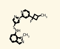 CC1CC(F)(c2ccnc(-n3cc(SNc4cccc5cnn(C)c45)cn3)c2)C1